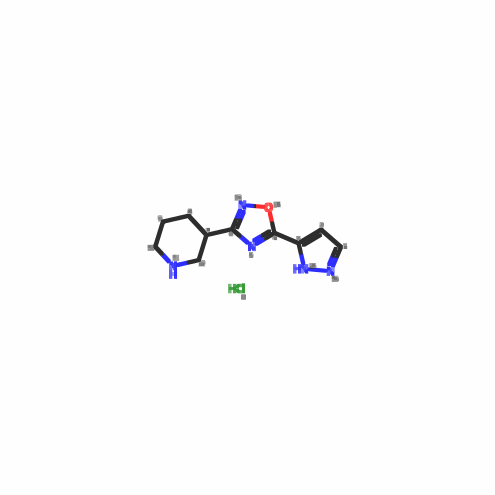 Cl.c1cc(-c2nc(C3CCCNC3)no2)[nH]n1